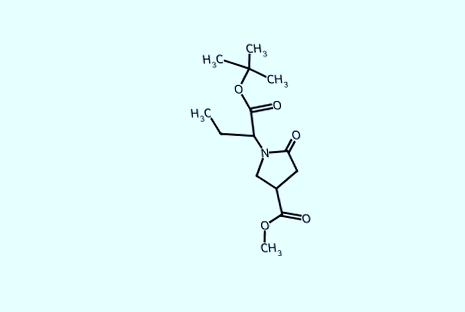 CCC(C(=O)OC(C)(C)C)N1CC(C(=O)OC)CC1=O